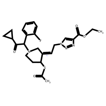 CCOC(=O)c1cn(C/C=C2\CN(C(C(=O)C3CC3)c3ccccc3F)CCC2SC(C)=O)nn1